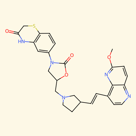 COc1ccc2nccc(C=CC3CCN(CC4CN(c5ccc6c(c5)NC(=O)CS6)C(=O)O4)C3)c2n1